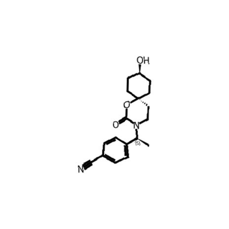 C[C@@H](c1ccc(C#N)cc1)N1CC[C@]2(CC[C@H](O)CC2)OC1=O